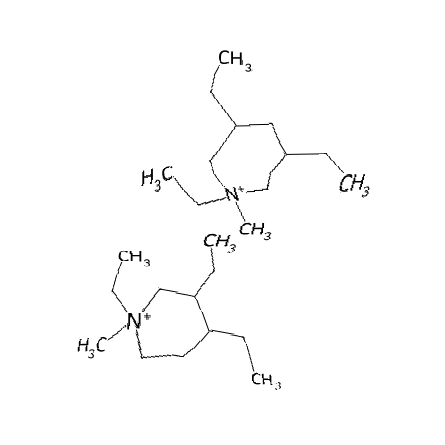 CCC1CC(CC)C[N+](C)(CC)C1.CCC1CC[N+](C)(CC)CC1CC